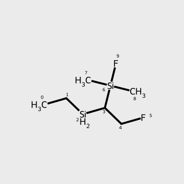 CC[SiH2]C(CF)[Si](C)(C)F